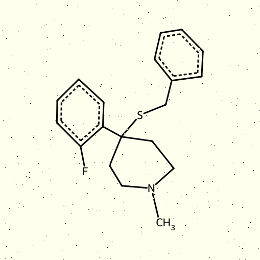 CN1CCC(SCc2ccccc2)(c2ccccc2F)CC1